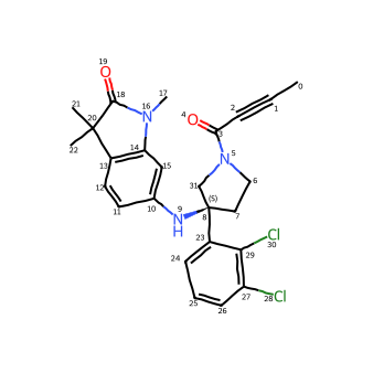 CC#CC(=O)N1CC[C@](Nc2ccc3c(c2)N(C)C(=O)C3(C)C)(c2cccc(Cl)c2Cl)C1